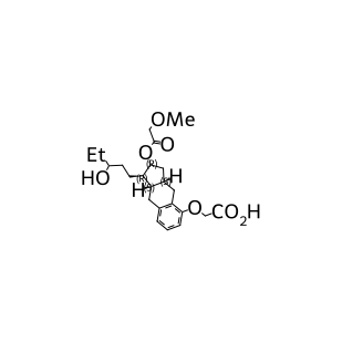 CCC(O)CC[C@@H]1[C@H]2Cc3cccc(OCC(=O)O)c3C[C@H]2C[C@H]1OC(=O)COC